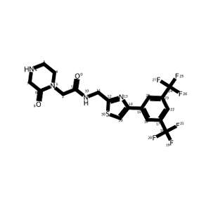 O=C(CN1CCNCC1=O)NCc1nc(-c2cc(C(F)(F)F)cc(C(F)(F)F)c2)cs1